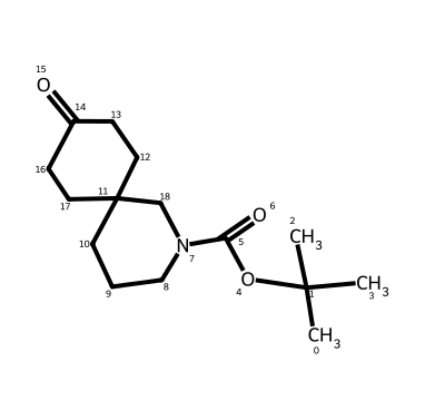 CC(C)(C)OC(=O)N1CCCC2(CCC(=O)CC2)C1